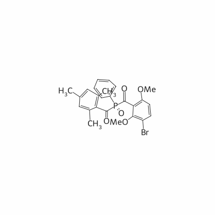 COc1ccc(Br)c(OC)c1C(=O)P(=O)(C(=O)c1c(C)cc(C)cc1C)c1ccccc1